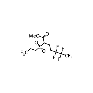 COC(=O)C(CCC(F)(F)C(F)(F)C(F)(F)F)S(=O)(=O)CCC(F)(F)F